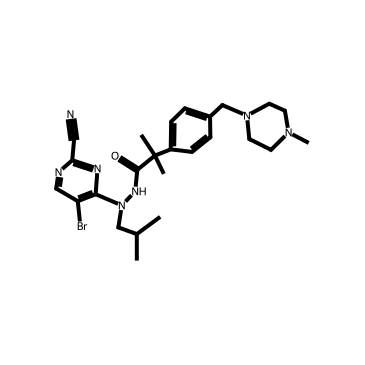 CC(C)CN(NC(=O)C(C)(C)c1ccc(CN2CCN(C)CC2)cc1)c1nc(C#N)ncc1Br